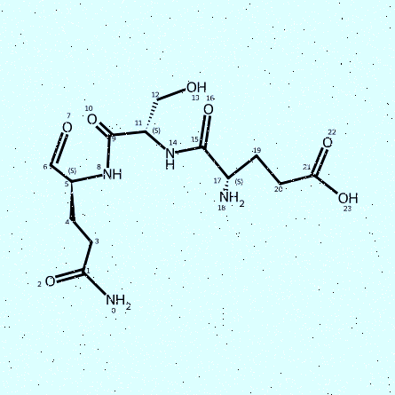 NC(=O)CC[C@@H]([C]=O)NC(=O)[C@H](CO)NC(=O)[C@@H](N)CCC(=O)O